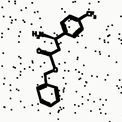 N[C@H](CC(=O)OCc1ccccc1)c1ccc(C(F)(F)F)cc1